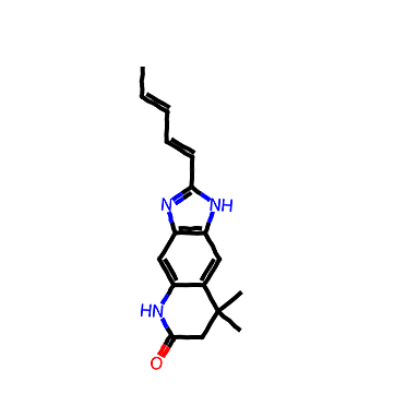 C/C=C/C=C/c1nc2cc3c(cc2[nH]1)C(C)(C)CC(=O)N3